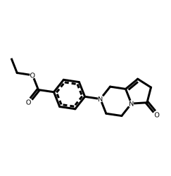 CCOC(=O)c1ccc(N2CCN3C(=O)CC=C3C2)cc1